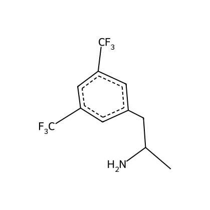 CC(N)Cc1cc(C(F)(F)F)cc(C(F)(F)F)c1